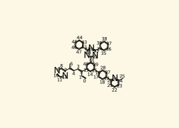 C=C/C(=C\C=C(/C)c1cnccn1)c1cc(-c2ccc(-c3cccc(C)n3)cc2)cc(-c2nc(-c3ccccc3)nc(-c3ccccc3)n2)c1